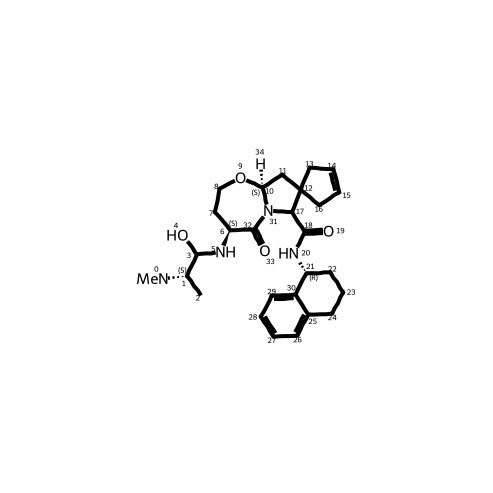 CN[C@@H](C)C(O)N[C@H]1CCO[C@H]2CC3(CC=CC3)C(C(=O)N[C@@H]3CCCc4ccccc43)N2C1=O